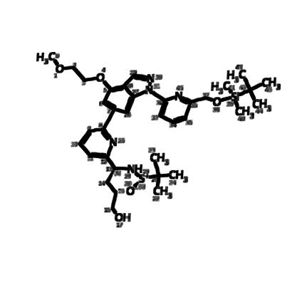 COCCOc1cc(-c2cccc([C@H](CCCO)N[S@+]([O-])C(C)(C)C)n2)cc2c1cnn2-c1cccc(CO[Si](C)(C)C(C)(C)C)n1